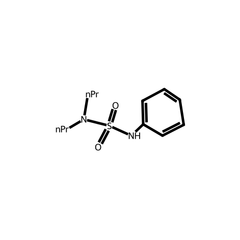 CCCN(CCC)S(=O)(=O)Nc1ccccc1